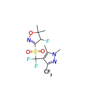 Cc1c(C(F)(F)S(=O)(=O)C2=NOC(C)(C)C2F)c(C(F)(F)F)nn1C